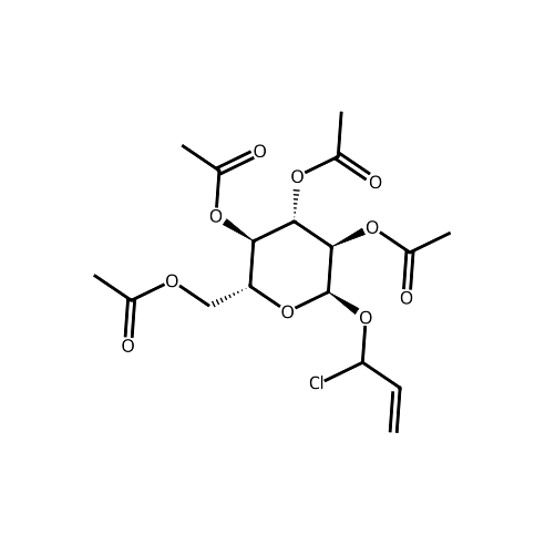 C=CC(Cl)O[C@H]1O[C@H](COC(C)=O)[C@@H](OC(C)=O)[C@H](OC(C)=O)[C@H]1OC(C)=O